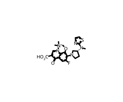 CN(c1nccs1)[C@@H]1CCN(c2c(F)cc3c(=O)c(C(=O)O)cn4c3c2OC[N+]4(C)C)C1